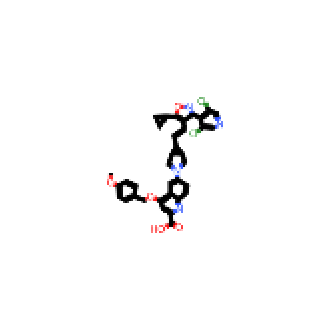 COc1ccc(COc2cc(C(=O)O)nc3ccc(N4CC5C(C=Cc6c(-c7c(Cl)cncc7Cl)noc6C6CC6)C5C4)cc23)cc1